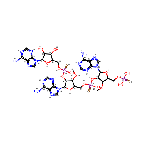 COC1C(COP(O)(O)=S)OC(n2cnc3c(N)ncnc32)C1OP(O)(=S)OCC1OC(n2cnc3c(N)ncnc32)C(OP(O)(=S)OCC2OC(n3cnc4c(N)ncnc43)C(O)C2O)C1OC